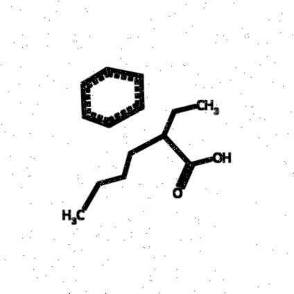 CCCCC(CC)C(=O)O.c1ccccc1